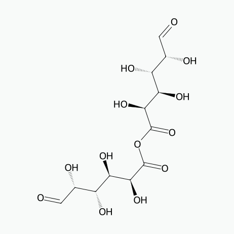 O=C[C@H](O)[C@@H](O)[C@@H](O)[C@H](O)C(=O)OC(=O)[C@@H](O)[C@H](O)[C@H](O)[C@@H](O)C=O